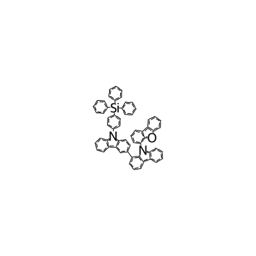 c1ccc([Si](c2ccccc2)(c2ccccc2)c2ccc(-n3c4ccccc4c4cc(-c5cccc6c7ccccc7n(-c7cccc8c7oc7ccccc78)c56)ccc43)cc2)cc1